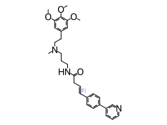 COc1cc(CCN(C)CCCNC(=O)C/C=C/c2ccc(-c3cccnc3)cc2)cc(OC)c1OC